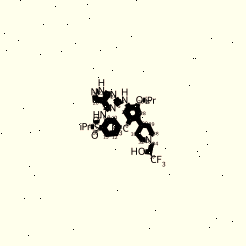 Cc1cc(Nc2nc(Nc3ccccc3S(=O)(=O)C(C)C)c3cn[nH]c3n2)c(OC(C)C)cc1C1CCN(C[C@@H](O)C(F)(F)F)CC1